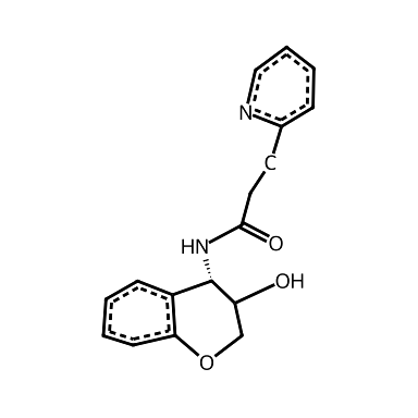 O=C(CCc1ccccn1)N[C@H]1c2ccccc2OCC1O